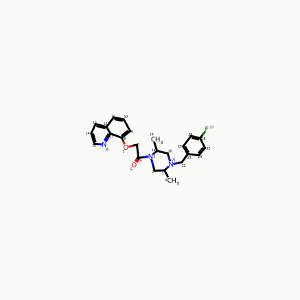 CC1CN(C(=O)COc2cccc3cccnc23)C(C)CN1Cc1ccc(F)cc1